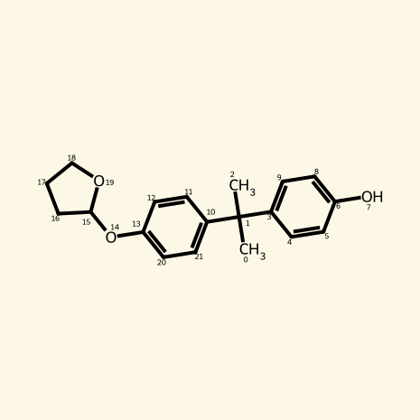 CC(C)(c1ccc(O)cc1)c1ccc(OC2CCCO2)cc1